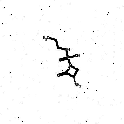 CCCNP(=O)(O)N1C[C@H](N)C1=O